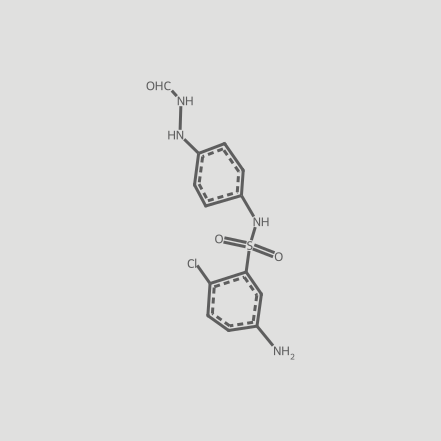 Nc1ccc(Cl)c(S(=O)(=O)Nc2ccc(NNC=O)cc2)c1